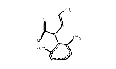 CC=CN(C(=O)Cl)c1c(C)cccc1C